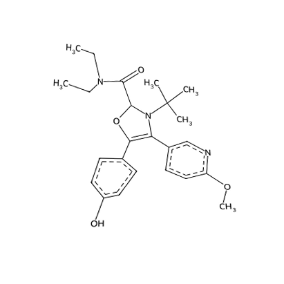 CCN(CC)C(=O)C1OC(c2ccc(O)cc2)=C(c2ccc(OC)nc2)N1C(C)(C)C